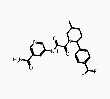 CC1CCC(c2ccc(C(F)F)cc2)N(C(=O)C(=O)Nc2cncc(C(N)=O)c2)C1